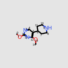 COc1ncc(C2CCNCC2)c(OC)n1